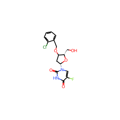 O=c1[nH]c(=O)n([C@@H]2CC(OCc3ccccc3Cl)[C@H](CO)O2)cc1F